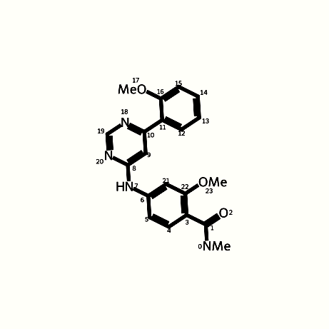 CNC(=O)c1ccc(Nc2cc(-c3ccccc3OC)ncn2)cc1OC